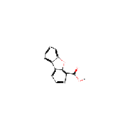 COC(=O)c1cccc2c1oc1ccccc12